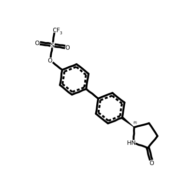 O=C1CC[C@H](c2ccc(-c3ccc(OS(=O)(=O)C(F)(F)F)cc3)cc2)N1